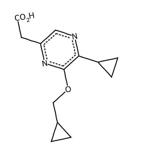 O=C(O)Cc1cnc(C2CC2)c(OCC2CC2)n1